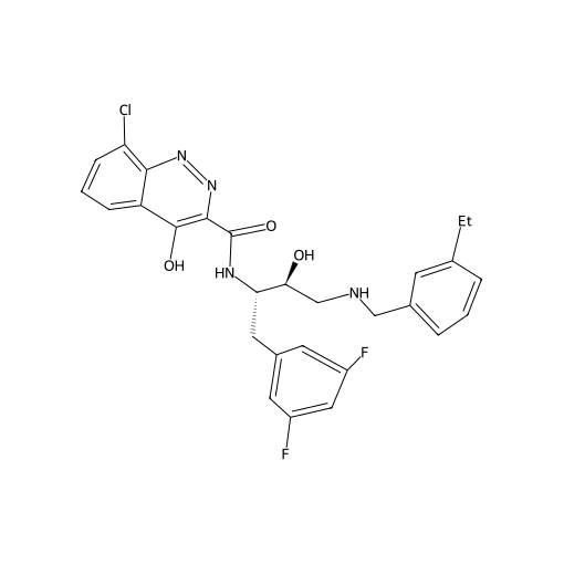 CCc1cccc(CNC[C@H](O)[C@H](Cc2cc(F)cc(F)c2)NC(=O)c2nnc3c(Cl)cccc3c2O)c1